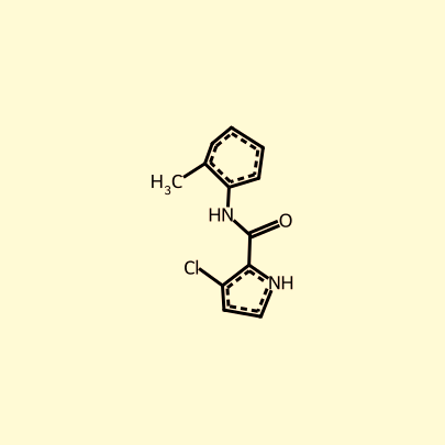 Cc1ccccc1NC(=O)c1[nH]ccc1Cl